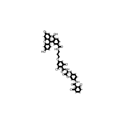 O=C(NCCCOc1cc(Cl)c(C(=O)N[C@@H](Cc2ccc(NC(=O)c3c(Cl)cccc3Cl)cc2)C(=O)O)c(Cl)c1)c1ccc(C(=O)O)c(-c2c3ccc(=O)cc-3oc3cc(O)ccc23)c1